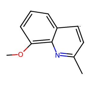 COc1cccc2[c]cc(C)nc12